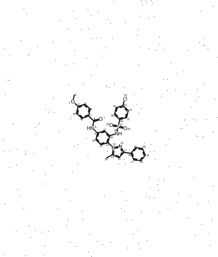 COc1ccc(C(=O)Nc2ccc(-n3nc(-c4ccccc4)cc3C)c(NS(=O)(=O)c3ccc(Cl)cc3)c2)cc1